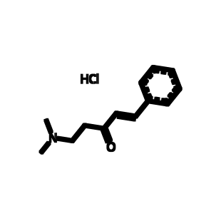 CN(C)CCC(=O)C=Cc1ccccc1.Cl